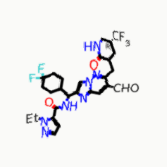 CCn1nccc1C(=O)NC(c1cn2nc(CC3C[C@@H](C(F)(F)F)CNC3=O)c(C=O)cc2n1)C1CCC(F)(F)CC1